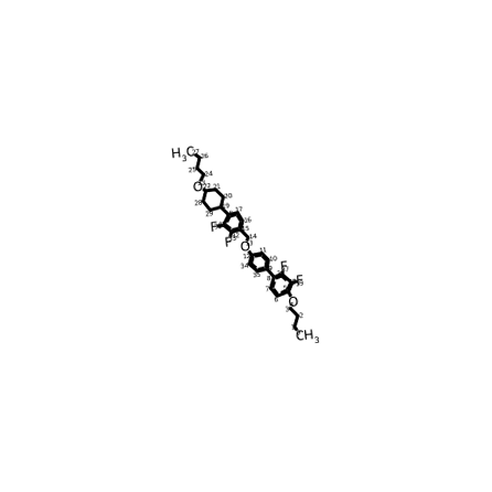 CCCCOc1ccc(-c2ccc(OCc3ccc(C4CCC(OCCCC)CC4)c(F)c3F)cc2)c(F)c1F